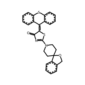 O=C1N=C(N2CCC3(CC2)OCc2ccccc23)SC1=C1c2ccccc2Sc2ccccc21